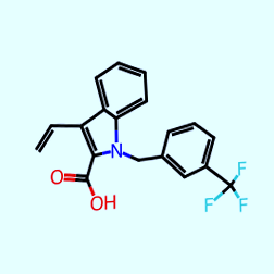 C=Cc1c(C(=O)O)n(Cc2cccc(C(F)(F)F)c2)c2ccccc12